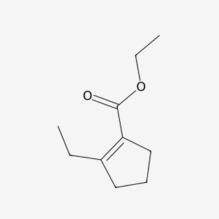 CCOC(=O)C1=C(CC)CCC1